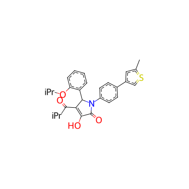 Cc1cc(-c2ccc(N3C(=O)C(O)=C(C(=O)C(C)C)C3c3ccccc3OC(C)C)cc2)cs1